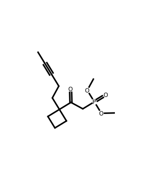 CC#CCCC1(C(=O)CP(=O)(OC)OC)CCC1